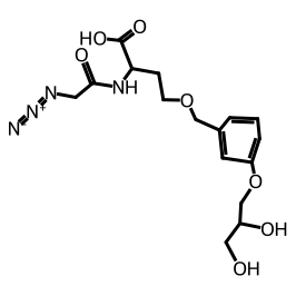 [N-]=[N+]=NCC(=O)NC(CCOCc1cccc(OCC(O)CO)c1)C(=O)O